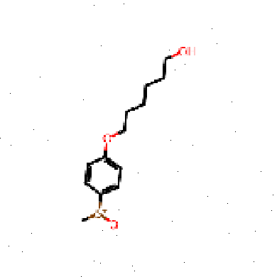 C[S+]([O-])c1ccc(OCCCCCCO)cc1